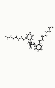 CCCCCCCCc1ccccc1O[PH](=O)Oc1ccccc1CCCCCCCC